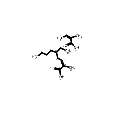 CC=C(C)C(=O)O.CCCCC(CC)CC=C(C)C(=O)O